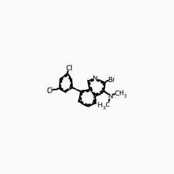 CN(C)c1c(Br)ncc2c(-c3cc(Cl)cc(Cl)c3)cccc12